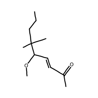 CCCC(C)(C)C(C=CC(C)=O)OC